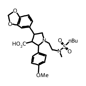 CCCCS(=O)(=O)N(C)CCN1CC(c2ccc3c(c2)OCO3)C(C(=O)O)C1c1ccc(OC)cc1